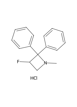 CN1CC(F)C1(c1ccccc1)c1ccccc1.Cl